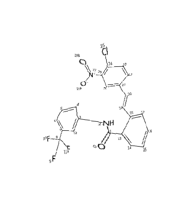 O=C(Nc1cccc(C(F)(F)F)c1)c1ccccc1C=Cc1ccc(Cl)c([N+](=O)[O-])c1